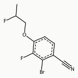 CC(F)COc1ccc(C#N)c(Br)c1F